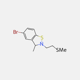 CSCCN1Sc2ccc(Br)cc2C1C